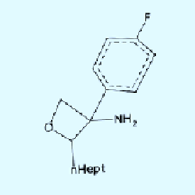 CCCCCCCC1OCC1(N)c1ccc(F)cc1